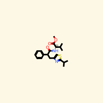 COC(=O)[C@@H](NC(=O)C(Cc1csc(C(C)C)n1)c1ccccc1)C(C)C